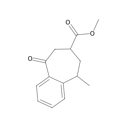 COC(=O)C1CC(=O)c2ccccc2C(C)C1